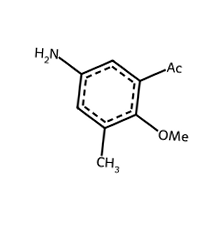 COc1c(C)cc(N)cc1C(C)=O